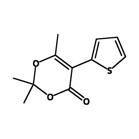 CC1=C(c2cccs2)C(=O)OC(C)(C)O1